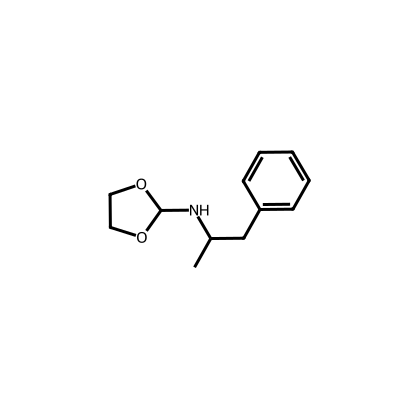 CC(Cc1ccccc1)NC1OCCO1